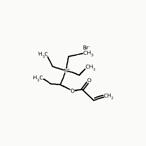 C=CC(=O)OC(CC)[N+](CC)(CC)CC.[Br-]